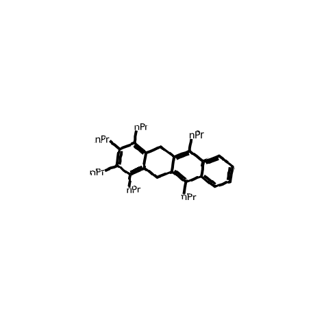 CCCc1c(CCC)c(CCC)c2c(c1CCC)Cc1c(c(CCC)c3ccccc3c1CCC)C2